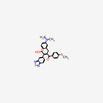 CSc1ccc(C(=O)C(Cc2cccc(N(C)C)c2)=C(C(=O)O)c2ccc3nsnc3c2)cc1